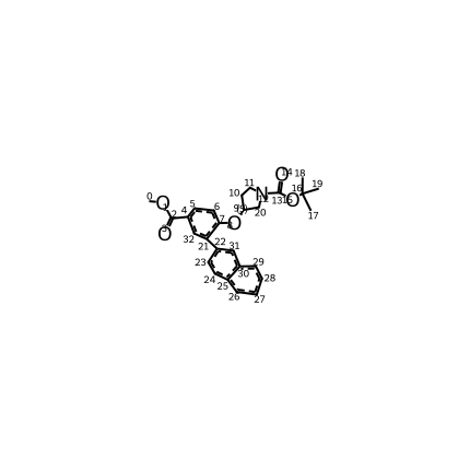 COC(=O)c1ccc(O[C@H]2CCN(C(=O)OC(C)(C)C)C2)c(-c2ccc3ccccc3c2)c1